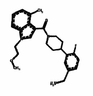 COCCn1cc(C(=O)N2CCC(c3cc(CN)ccc3F)CC2)c2c(C)cccc21